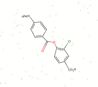 CCCCCc1ccc(C(=O)Oc2ccc(C(=O)O)cc2Cl)cc1